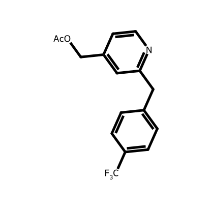 CC(=O)OCc1ccnc(Cc2ccc(C(F)(F)F)cc2)c1